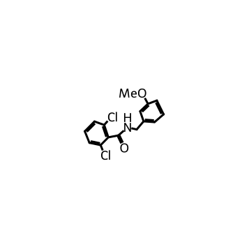 COc1cccc(CNC(=O)c2c(Cl)cccc2Cl)c1